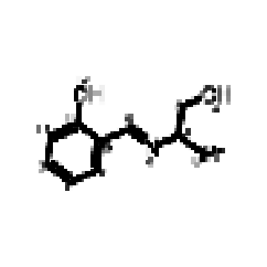 CC(C)C(CO)N=Cc1ccccc1O